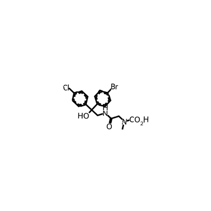 CN(CC(=O)NCC(O)(c1ccc(Cl)cc1)c1ccc(Br)cc1)C(=O)O